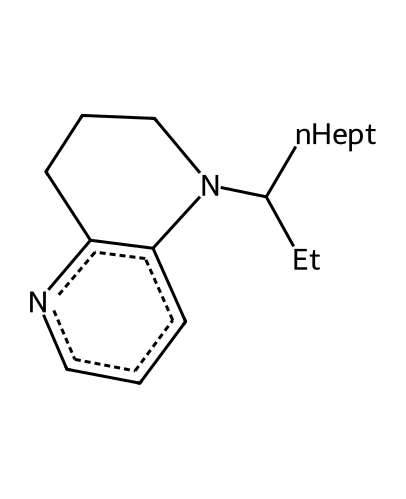 CCCCCCCC(CC)N1CCCc2ncccc21